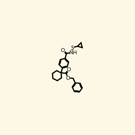 O=C(NSC1CC1)c1ccc(C2(C(=O)OCc3ccccc3)CCCCC2)cc1